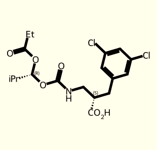 CCC(=O)O[C@H](OC(=O)NC[C@H](Cc1cc(Cl)cc(Cl)c1)C(=O)O)C(C)C